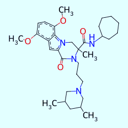 COc1ccc(OC)c2c1cc1n2CC(C)(C(=O)NC2CCCCCC2)N(CCCN2CC(C)CC(C)C2)C1=O